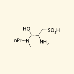 CCCN(C)C(O)C(N)CS(=O)(=O)O